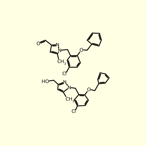 Cc1cc(C=O)nn1Cc1cc(Cl)ccc1OCc1ccccc1.Cc1cc(CO)nn1Cc1cc(Cl)ccc1OCc1ccccc1